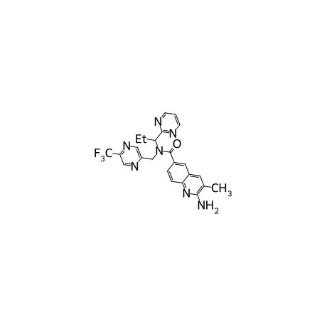 CCC(c1ncccn1)N(Cc1cnc(C(F)(F)F)cn1)C(=O)c1ccc2nc(N)c(C)cc2c1